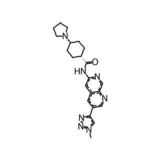 Cn1cc(-c2cnc3cnc(NC(=O)[C@H]4CC[C@H](N5CCCC5)CC4)cc3c2)nn1